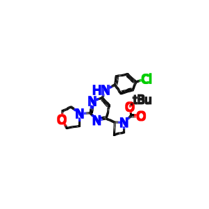 CC(C)(C)OC(=O)N1CCC1c1cc(Nc2ccc(Cl)cc2)nc(N2CCOCC2)n1